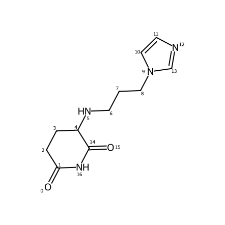 O=C1CCC(NCCCn2ccnc2)C(=O)N1